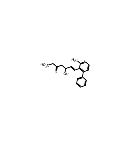 Cc1nccc(-c2ccccc2)c1C=CC(O)CC(=O)CC(=O)O